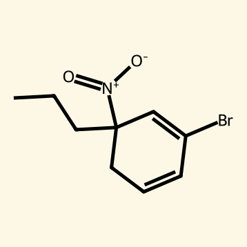 CCCC1([N+](=O)[O-])C=C(Br)C=CC1